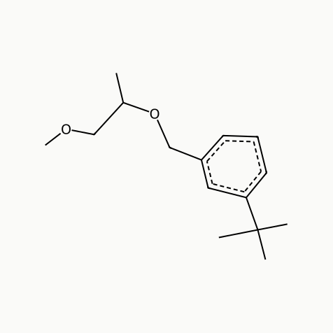 COCC(C)OCc1cccc(C(C)(C)C)c1